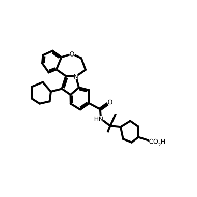 CC(C)(NC(=O)c1ccc2c(C3CCCCC3)c3n(c2c1)CCOc1ccccc1-3)C1CCC(C(=O)O)CC1